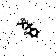 CP(=O)(O)OS(=O)(=O)c1ccccc1Cl